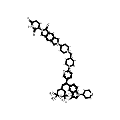 CC1(C)CC(C=C(c2ccc(N3CCC(CN4CCC(N5Cc6cc7c(cc6C5)C(=O)N(C5CCC(=O)NC5=O)C7)CC4)CC3)nc2)c2ccc3c(c2)c(F)cn3C2CCOCC2)CC(C)(C)O1